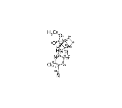 COC(=O)[C@@H]1C2CCC(CC2)[C@H]1Nc1nc(Cl)c(C#N)cc1F